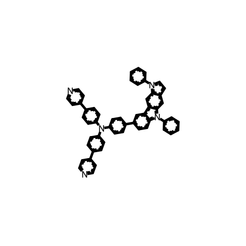 c1ccc(-n2ccc3cc4c(cc32)c2cc(-c3ccc(N(c5ccc(-c6ccncc6)cc5)c5ccc(-c6ccncc6)cc5)cc3)ccc2n4-c2ccccc2)cc1